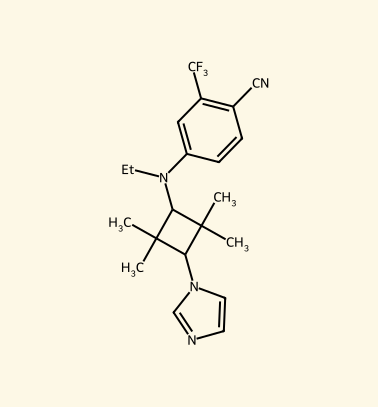 CCN(c1ccc(C#N)c(C(F)(F)F)c1)C1C(C)(C)C(n2ccnc2)C1(C)C